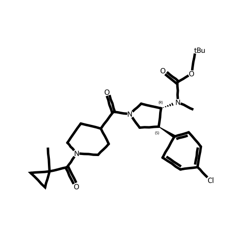 CN(C(=O)OC(C)(C)C)[C@H]1CN(C(=O)C2CCN(C(=O)C3(C)CC3)CC2)C[C@@H]1c1ccc(Cl)cc1